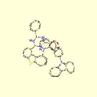 c1ccc(C2=NC(c3ccccc3)NC(c3cccc4sc5cccc(-c6cccc7oc8ccc(-n9c%10ccccc%10c%10ccccc%109)cc8c67)c5c34)N2)cc1